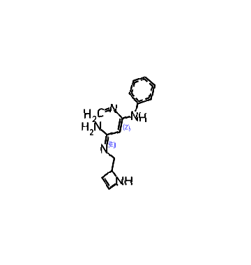 C=N/C(=C\C(N)=N/CC1C=CN1)Nc1ccccc1